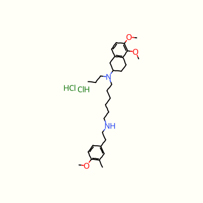 CCCN(CCCCCCNCCc1ccc(OC)c(C)c1)C1CCc2c(ccc(OC)c2OC)C1.Cl.Cl